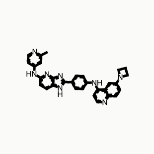 Cc1cc(Nc2ccc3[nH]c(-c4ccc(Nc5ccnc6ccc(N7CCC7)cc56)cc4)nc3n2)ccn1